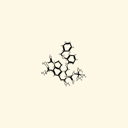 CC(=O)N1CCc2cc(CC(C)N(CCOc3ccccc3OCc3ccccc3)C(=O)OC(C)(C)C)cc(C(N)=O)c21